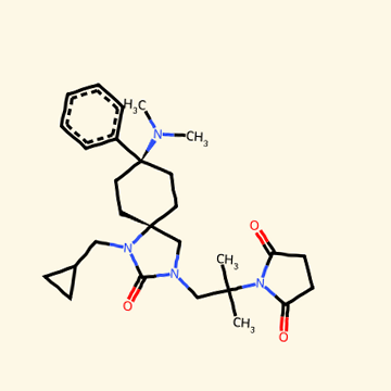 CN(C)[C@]1(c2ccccc2)CC[C@@]2(CC1)CN(CC(C)(C)N1C(=O)CCC1=O)C(=O)N2CC1CC1